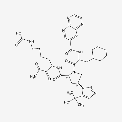 CC(C)(O)c1cnnn1[C@H]1C[C@@H](C(=O)NC(CCCCNC(=O)O)C(=O)C(N)=O)N(C(=O)C(CC2CCCCC2)NC(=O)c2cnc3nccnc3c2)C1